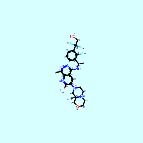 Cc1nnc(N[C@H](C)c2cccc(C(F)(F)CO)c2F)c2cc(N3CCN4CCOC[C@@H]4C3)c(O)nc12